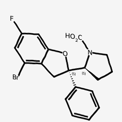 O=C(O)N1CCC[C@H]1[C@@]1(c2ccccc2)Cc2c(Br)cc(F)cc2O1